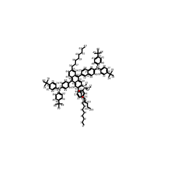 CCCCCCCCOc1cccc([Si](C)(OC)c2cc3c(-c4ccc5cc(N(c6ccc(C(C)(C)C)cc6)c6ccc(C(C)(C)C)cc6)ccc5c4)c4cc(CCCCCCCC)ccc4c(-c4ccc(N(c5ccc(C(C)(C)C)cc5)c5ccc(C(C)(C)C)cc5)cc4)c3cc2CCCCCCCC)c1